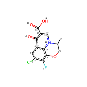 CC1COc2c(F)c(Cl)cc3c(=O)c(C(=O)O)cn1c23